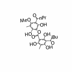 CCCC(=O)c1c(O)c(OC(=O)c2c(O)c(C)c(O)c(C(=O)C(C)CC)c2O)c(O)c(C)c1OC